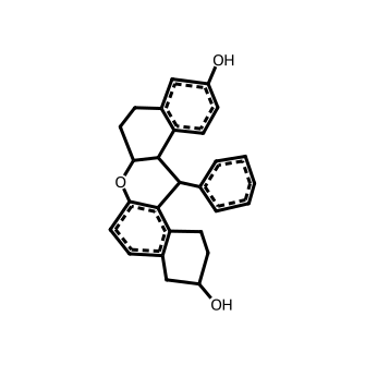 Oc1ccc2c(c1)CCC1Oc3ccc4c(c3C(c3ccccc3)C21)CCC(O)C4